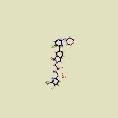 Cc1nc([C@@H](CO)NC(=O)CN2Cc3ccc(-c4nc(NC5CCOCC5)ncc4Cl)cc3C2=O)ccc1F